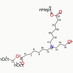 CCCCCCCCC(CCCCCCCC)OC(=O)CCCCCCN(CCCO)CCCCCCC(=O)OCCCCCCC